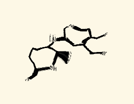 O=C1CCC(Nc2cc(CBr)c(F)cn2)C(=O)N1